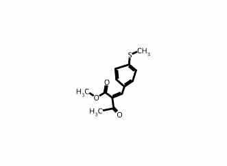 COC(=O)C(=Cc1ccc(SC)cc1)C(C)=O